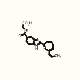 C/C=C\C1=C=CC=CC(c2nc3cc(C(=O)NCC(=O)O)ccc3[nH]2)=N1